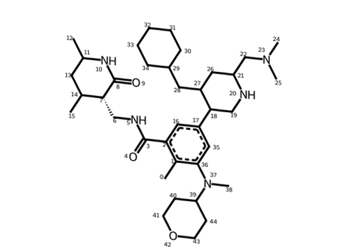 Cc1c(C(=O)NC[C@H]2C(=O)NC(C)CC2C)cc(C2CNC(CN(C)C)CC2CC2CCCCC2)cc1N(C)C1CCOCC1